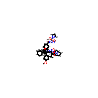 COc1ccc2c(c1)C(C)C(C)(C(=O)N1C3CCC1CC(N(C)Cc1ccccc1)C3)Cn1c-2c(C2CCCCC2)c2ccc(C(=O)NS(=O)(=O)N3CCC3)cc21